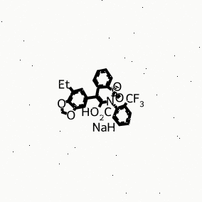 CCc1cc(C2=C(C(=O)O)N(c3ccccc3C(F)(F)F)S(=O)(=O)c3ccccc32)cc2c1OCO2.[NaH]